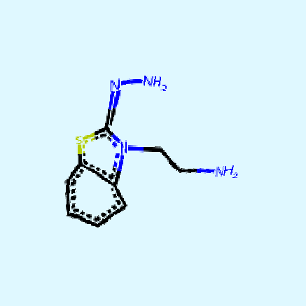 NCCn1c(=NN)sc2ccccc21